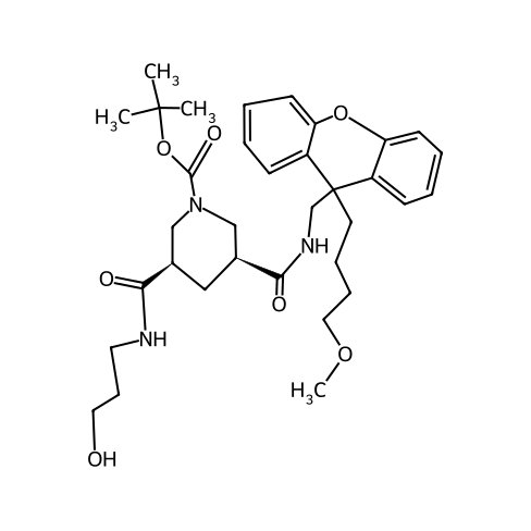 COCCCCC1(CNC(=O)[C@H]2C[C@@H](C(=O)NCCCO)CN(C(=O)OC(C)(C)C)C2)c2ccccc2Oc2ccccc21